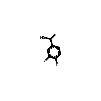 CC(S)c1ccc(F)c(F)c1